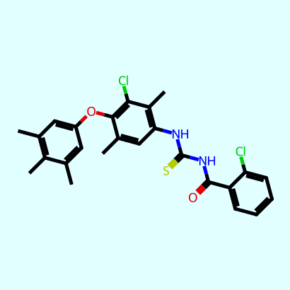 Cc1cc(Oc2c(C)cc(NC(=S)NC(=O)c3ccccc3Cl)c(C)c2Cl)cc(C)c1C